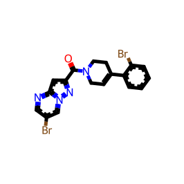 O=C(c1cc2ncc(Br)cn2n1)N1CC=C(c2ccccc2Br)CC1